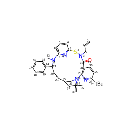 C=CCN1Sc2cccc(n2)N(C)C(c2ccccc2)CCC2CN(c3nc(C(C)(C)C)ccc3C1=O)C(C)(C)C2